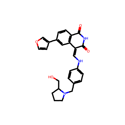 O=C1NC(=O)c2ccc(-c3ccoc3)cc2C1=CNc1ccc(CN2CCCC2CO)cc1